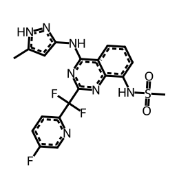 Cc1cc(Nc2nc(C(F)(F)c3ccc(F)cn3)nc3c(NS(C)(=O)=O)cccc23)n[nH]1